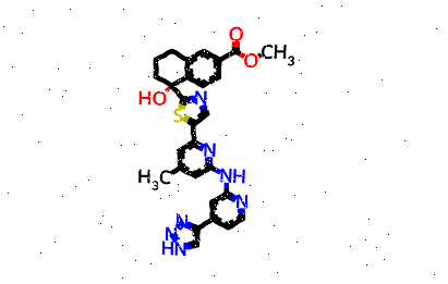 COC(=O)c1ccc2c(c1)CCC[C@@]2(O)c1ncc(-c2cc(C)cc(Nc3cc(-c4c[nH]nn4)ccn3)n2)s1